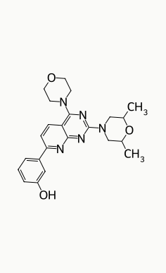 CC1CN(c2nc(N3CCOCC3)c3ccc(-c4cccc(O)c4)nc3n2)CC(C)O1